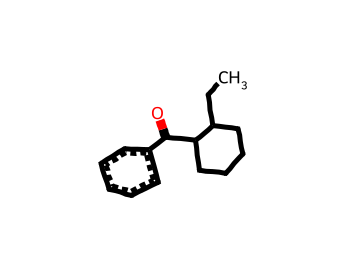 CCC1CCCCC1C(=O)c1ccccc1